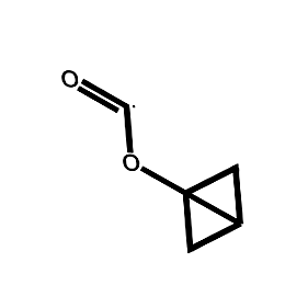 O=[C]OC12CC1C2